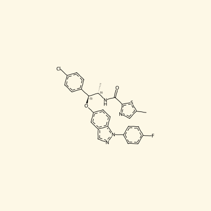 Cc1cnc(C(=O)N[C@@H](C)[C@@H](Oc2ccc3c(cnn3-c3ccc(F)cc3)c2)c2ccc(Cl)cc2)s1